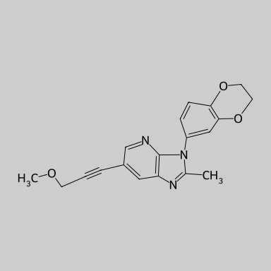 COCC#Cc1cnc2c(c1)nc(C)n2-c1ccc2c(c1)OCCO2